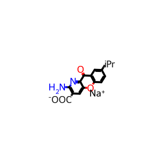 CC(C)c1ccc2oc3cc(C(=O)[O-])c(N)nc3c(=O)c2c1.[Na+]